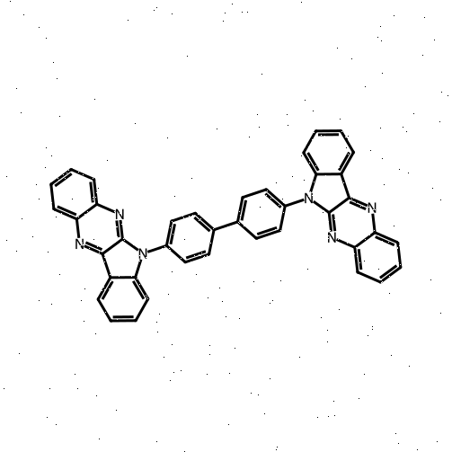 c1ccc2nc3c(nc2c1)c1ccccc1n3-c1ccc(-c2ccc(-n3c4ccccc4c4nc5ccccc5nc43)cc2)cc1